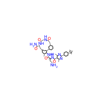 Cc1cc2cc(c1NC(=O)[C@H](CCN)NC(=O)c1c(C)nc(-c3ccc([Si](C)(C)C)cc3)nc1C)-c1cccc(c1)CC(=O)NCC(=O)NC(C(N)=O)C2